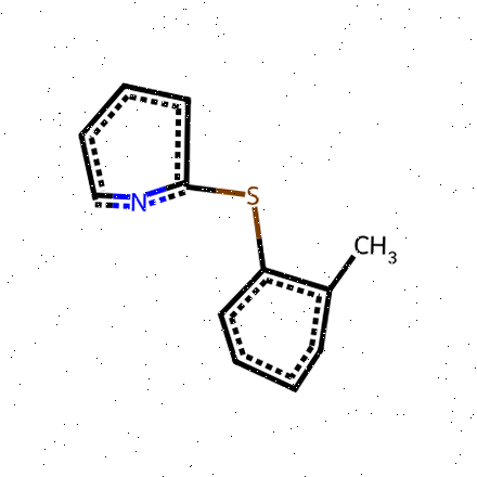 Cc1ccccc1Sc1ccccn1